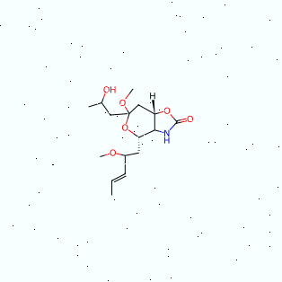 C/C=C/C(C[C@@H]1OC(CC(C)O)(OC)C[C@@H]2OC(=O)NC21)OC